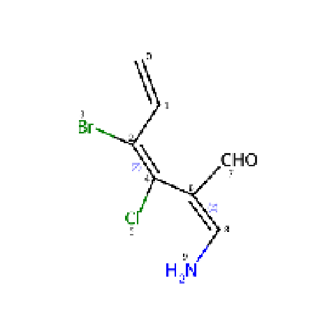 C=C/C(Br)=C(Cl)\C(C=O)=C/N